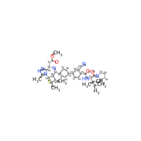 COC(=O)CC1N=C(c2ccc(-c3ccc(C(=O)NC(C(=O)N4CCCC4C)C(C)(C)C)c(C#N)c3)cc2)c2c(sc(C)c2C)-n2c(C)nnc21